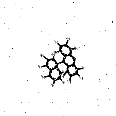 [2H]c1c([2H])c([2H])c2c(-c3c([2H])c([2H])c([2H])c4c([2H])c([2H])c([2H])c([2H])c34)c3c([2H])c([2H])c([2H])c([2H])c3cc2c1[2H]